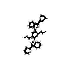 CCCc1cc(-n2nc(-c3ccccn3)c3ccccc32)c(CCC)cc1-n1nc(-c2ccccn2)c2ccccc21